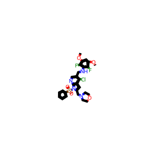 COc1cc(OC)c(F)c(NCc2cnc3c(cc(CN4CCOCC4)n3S(=O)(=O)c3ccccc3)c2Cl)c1F